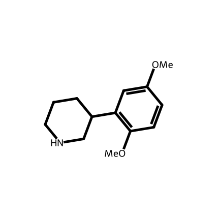 COc1ccc(OC)c(C2CCCNC2)c1